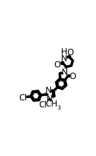 Cn1cc(-c2ccc3c(c2)CN(C2CCC(=O)NC2=O)C3=O)nc1-c1ccc(Cl)cc1Cl